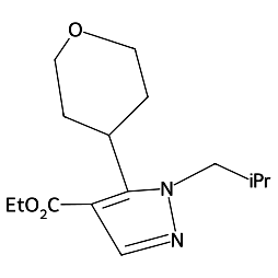 CCOC(=O)c1cnn(CC(C)C)c1C1CCOCC1